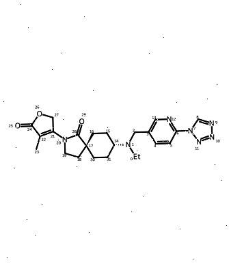 CCN(Cc1ccc(-n2cnnn2)nc1)[C@H]1CC[C@]2(CCN(C3=C(C)C(=O)OC3)C2=O)CC1